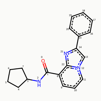 O=C(NC1CCCC1)c1cccn2cc(-c3ccccc3)nc12